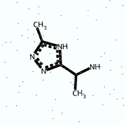 Cc1nnc(C(C)[NH])[nH]1